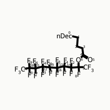 CCCCCCCCCCCCCC(=O)OC(F)(C(F)(F)F)C(F)(F)C(F)(F)C(F)(F)C(F)(F)C(F)(F)C(F)(F)C(F)(F)C(F)(F)F